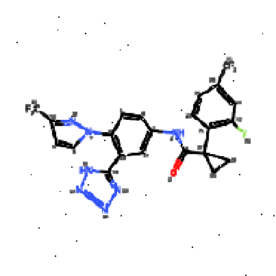 O=C(Nc1ccc(-n2ccc(C(F)(F)F)n2)c(-c2nnn[nH]2)c1)C1(c2ccc(C(F)(F)F)cc2F)CC1